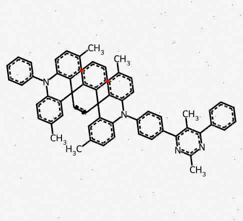 Cc1ccc2c(c1)C1(c3cc(C)ccc3N2c2ccccc2)c2ccccc2C2(c3cc(C)ccc3N(c3ccc(-c4nc(C)nc(-c5ccccc5)c4C)cc3)c3ccc(C)cc32)c2ccccc21